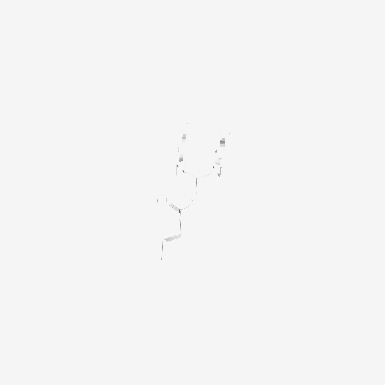 CC=CC(=O)OC(N=C=O)N=C=O